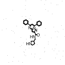 O=C(NCC1CCNC1)c1cc2nc(-c3ccccc3)cc(-c3ccccc3)n2n1